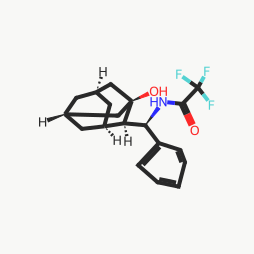 O=C(N[C@@H](c1ccccc1)[C@H]1[C@@H]2C[C@H]3C[C@@H](C2)C[C@]1(O)C3)C(F)(F)F